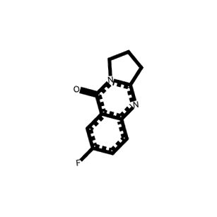 O=c1c2cc(F)ccc2nc2n1CCC2